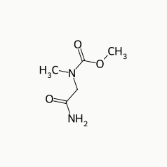 COC(=O)N(C)CC(N)=O